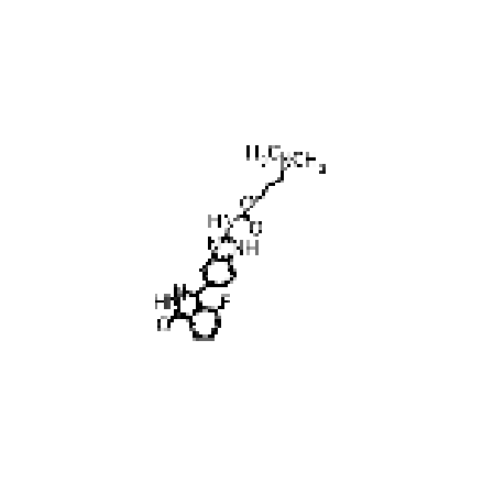 CN(C)CCCOC(=O)Nc1nc2cc(-c3n[nH]c(=O)c4cccc(F)c34)ccc2[nH]1